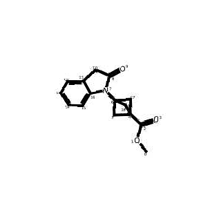 COC(=O)C12CC(N3C(=O)Cc4ccccc43)(C1)C2